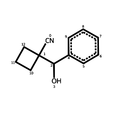 N#CC1(C(O)c2ccccc2)CCC1